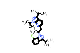 CC(C)c1nn(C(C)C)c2nc(CC(C)n3nc(C(C)C)c4cccc(F)c43)ccc12